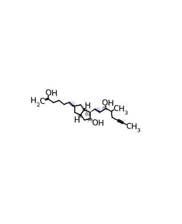 C=C(O)CCC/C=C1\C[C@H]2C[C@@H](O)[C@H](/C=C/[C@@H](O)C(C)CC#CC)[C@H]2C1